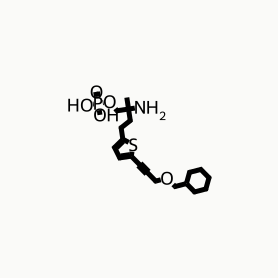 CC(N)(CCc1ccc(C#CCOCC2CCCCC2)s1)COP(=O)(O)O